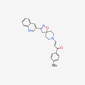 CC(C)(C)c1ccc(C(=O)C=CN2CCC3(CC2)CC(c2cnc4ccccc4c2)=NO3)cc1